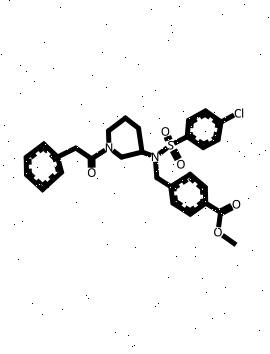 COC(=O)c1ccc(CN(C2CCCN(C(=O)Cc3ccccc3)C2)S(=O)(=O)c2ccc(Cl)cc2)cc1